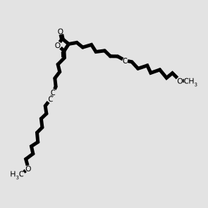 COCCCCCCCCCCCCCCCC=C1OC(=O)C1CCCCCCCCCCCCCCCOC